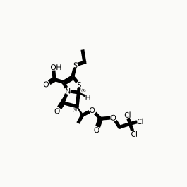 CCSC1=C(C(=O)O)N2C(=O)[C@H](C(C)OC(=O)OCC(Cl)(Cl)Cl)[C@H]2S1